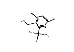 Cc1[c]c(Br)nc(C(F)(C(F)(F)F)C(F)(F)F)c1CC(Cl)(Cl)Cl